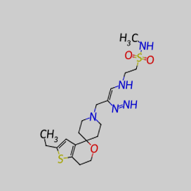 CCc1cc2c(s1)CCOC21CCN(C/C(=C/NCCS(=O)(=O)NC)N=N)CC1